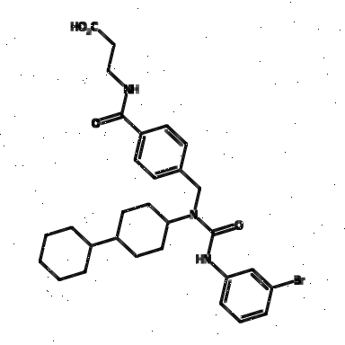 O=C(O)CCNC(=O)c1ccc(CN(C(=O)Nc2cccc(Br)c2)C2CCC(C3CCCCC3)CC2)cc1